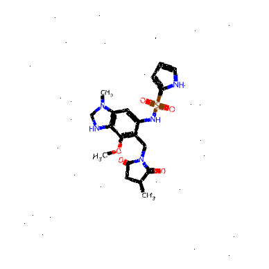 COc1c(CN2C(=O)CC(C)C2=O)c(NS(=O)(=O)c2ccc[nH]2)cc2c1NCN2C